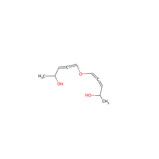 CC(O)C=C=COC=C=CC(C)O